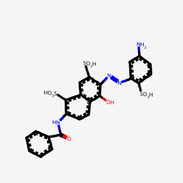 Nc1ccc(S(=O)(=O)O)c(N=Nc2c(S(=O)(=O)O)cc3c(S(=O)(=O)O)c(NC(=O)c4ccccc4)ccc3c2O)c1